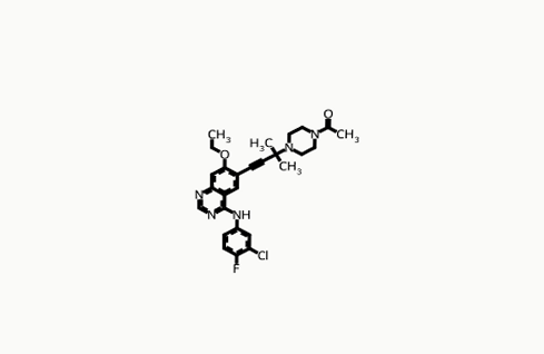 CCOc1cc2ncnc(Nc3ccc(F)c(Cl)c3)c2cc1C#CC(C)(C)N1CCN(C(C)=O)CC1